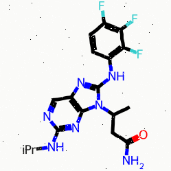 CC(C)Nc1ncc2nc(Nc3ccc(F)c(F)c3F)n(C(C)CC(N)=O)c2n1